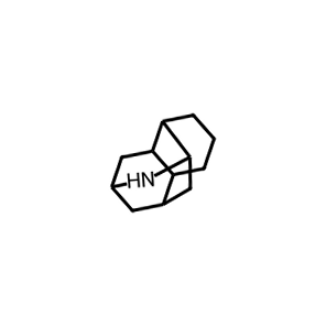 C1CC2C3CC4CC2C(C1)C(C3)N4